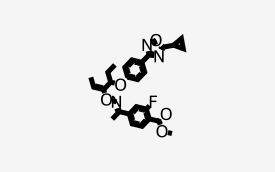 CC=C(O/N=C(\C)c1ccc(C(=O)OC)c(F)c1)C(CC)Oc1ccc(-c2noc(C3CC3)n2)cc1